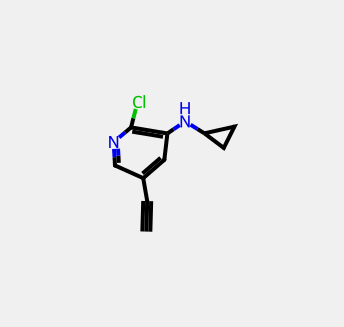 C#Cc1cnc(Cl)c(NC2CC2)c1